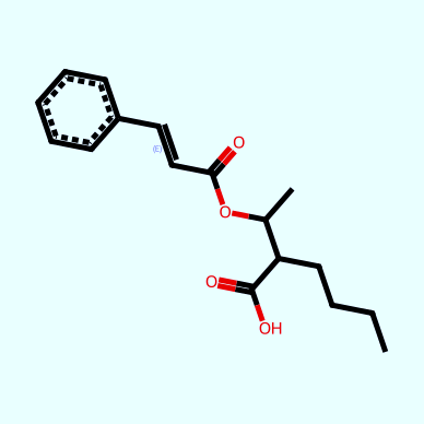 CCCCC(C(=O)O)C(C)OC(=O)/C=C/c1ccccc1